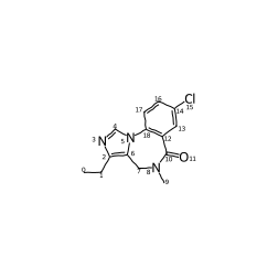 CCc1ncn2c1CN(C)C(=O)c1cc(Cl)ccc1-2